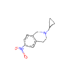 O=[N+]([O-])c1ccc2c(c1)CCN(C1CC1)C2